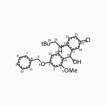 COc1cc(OCc2ccccc2)ccc1C(O)c1cc(Cl)ccc1NCC(C)(C)C